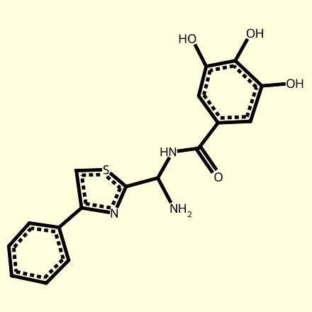 NC(NC(=O)c1cc(O)c(O)c(O)c1)c1nc(-c2ccccc2)cs1